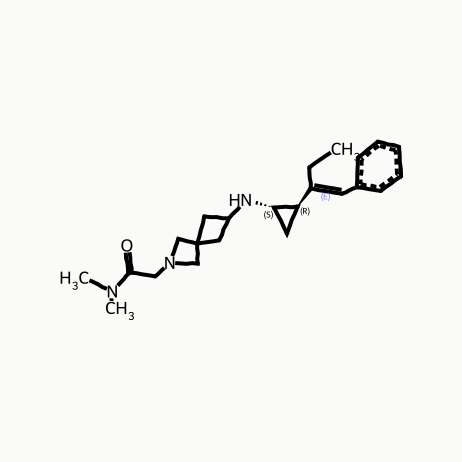 CC/C(=C\c1ccccc1)[C@H]1C[C@@H]1NC1CC2(C1)CN(CC(=O)N(C)C)C2